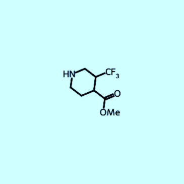 COC(=O)C1CCNCC1C(F)(F)F